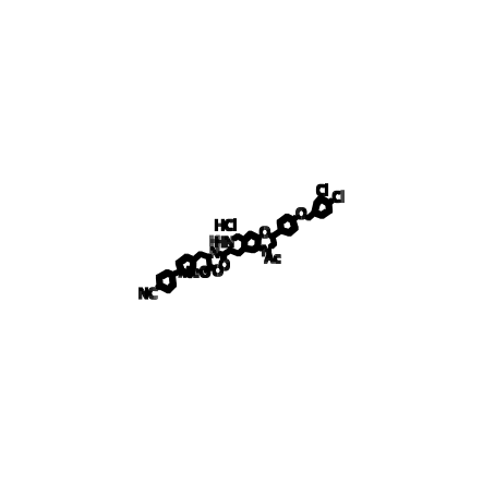 COC(=O)C(Cc1ccc(-c2ccc(C#N)cc2)cc1)NC(=O)C1Cc2cc3c(cc2CN1)OC(c1ccc(OCc2ccc(Cl)c(Cl)c2)cc1)CN3C(C)=O.Cl